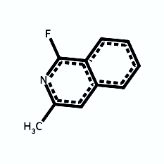 Cc1cc2ccccc2c(F)n1